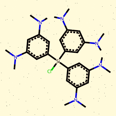 CN(C)c1cc(N(C)C)cc([Si](Cl)(c2cc(N(C)C)cc(N(C)C)c2)c2cc(N(C)C)cc(N(C)C)c2)c1